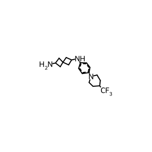 NC1CC2(C1)CC(Nc1ccc(N3CCC(C(F)(F)F)CC3)cc1)C2